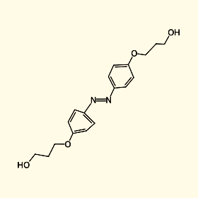 OCCCOc1ccc(/N=N/c2ccc(OCCCO)cc2)cc1